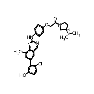 Cc1cc(-c2cc(O)ccc2Cl)cc2cnc(Nc3ccc(OCC(=O)N4CC[C@@H](N(C)C)C4)cc3)nc12